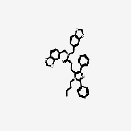 CCCCn1c(-c2ccccc2)nc(-c2ccccc2)c1CCC(=O)N(Cc1ccc2c(c1)OCO2)Cc1ccc2c(c1)OCO2